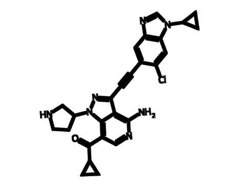 Nc1ncc(C(=O)C2CC2)c2c1c(C#Cc1cc3ncn(C4CC4)c3cc1Cl)nn2C1CCNC1